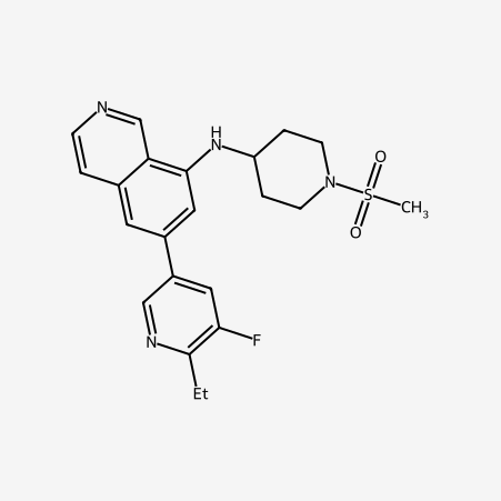 CCc1ncc(-c2cc(NC3CCN(S(C)(=O)=O)CC3)c3cnccc3c2)cc1F